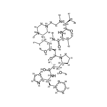 CC[C@H](C)[C@@H]([C@@H](CC(=O)N1CCC[C@H]1[C@H](OC)[C@@H](C)C(=O)N[C@@H](Cc1ccccc1)c1nccs1)OC)N(C)C(=O)[C@@H](NC(=O)[C@H](C(C)C)N(C)CCN1CCN(C)CC1)C(C)C